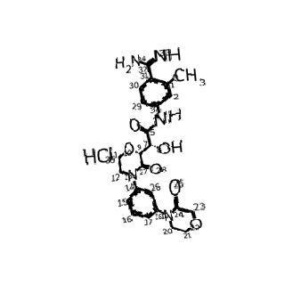 Cc1cc(NC(=O)[C@H](O)[C@H]2OCCN(c3cccc(N4CCOCC4=O)c3)C2=O)ccc1C(=N)N.Cl